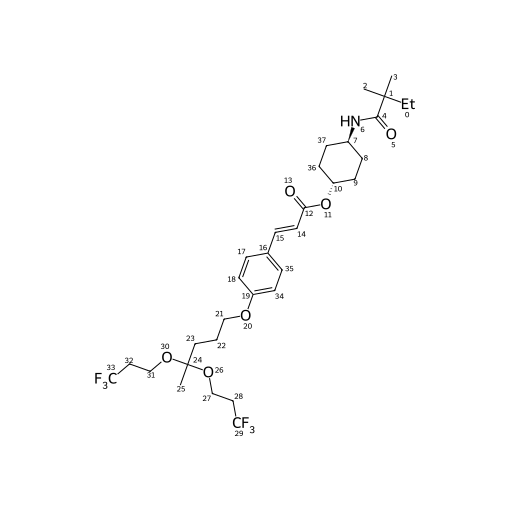 CCC(C)(C)C(=O)N[C@H]1CC[C@H](OC(=O)/C=C/c2ccc(OCCCC(C)(OCCC(F)(F)F)OCCC(F)(F)F)cc2)CC1